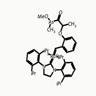 CO[As](C)C(=O)C(C)Oc1ccccc1[CH]=[Ru-4]([I])([I])=[C]1N(c2c(C(C)C)cccc2C(C)C)CCN1c1c(C(C)C)cccc1C(C)C